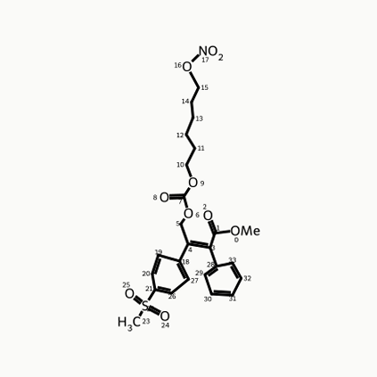 COC(=O)/C(=C(\COC(=O)OCCCCCCO[N+](=O)[O-])c1ccc(S(C)(=O)=O)cc1)c1ccccc1